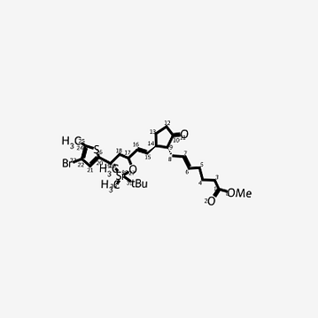 COC(=O)CCCC=CC[C@H]1C(=O)CC[C@@H]1C=CC(CCc1cc(Br)c(C)s1)O[Si](C)(C)C(C)(C)C